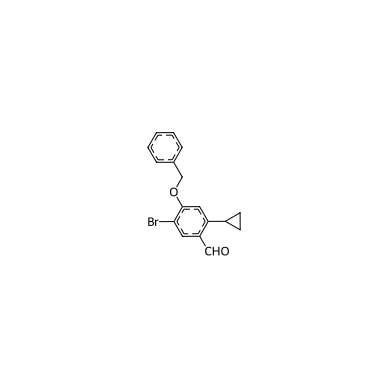 O=Cc1cc(Br)c(OCc2ccccc2)cc1C1CC1